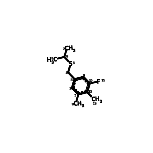 Cc1cc(CSC(C)C)cc(F)c1C